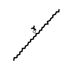 CCCCCCCCCCCCCCCCCC(CCCCCCCCCCCCCCCC)OC=C(C)C